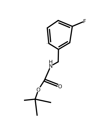 CC(C)(C)OC(=O)NCc1[c]ccc(F)c1